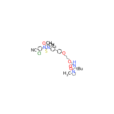 C[C@@H]1CCCN1C(=O)[C@@H](NC(=O)COCCCCOc1ccc(-c2ccc(N3C(=S)N(c4ccc(C#N)c(Cl)c4)C(=O)C3(C)C)cc2)cc1)C(C)(C)C